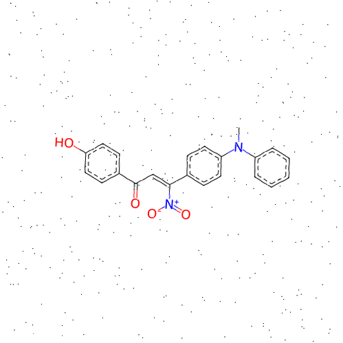 CN(c1ccccc1)c1ccc(C(=CC(=O)c2ccc(O)cc2)[N+](=O)[O-])cc1